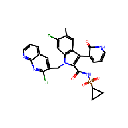 Cc1cc2c(-c3ccc[nH]c3=O)c(C(=O)NS(=O)(=O)C3CC3)n(Cc3cc4cccnc4nc3Cl)c2cc1F